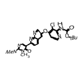 CNc1ncc(-c2ccc3cc(Oc4ccnc(NC(=O)OC(C)(C)C)c4Cl)cnc3n2)c(=O)n1C